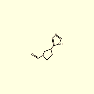 O=CN1CCC(c2cnc[nH]2)C1